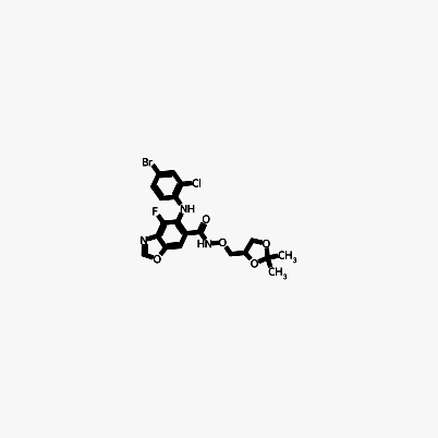 CC1(C)OCC(CONC(=O)c2cc3ocnc3c(F)c2Nc2ccc(Br)cc2Cl)O1